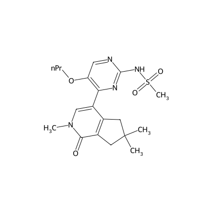 CCCOc1cnc(NS(C)(=O)=O)nc1-c1cn(C)c(=O)c2c1CC(C)(C)C2